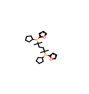 CC(C)(CCC(C)(C)P(c1ccco1)C1CCCC1)P(c1ccco1)C1CCCC1